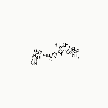 Cn1c(=O)n(C)c2cc(C3=CC(C)(C)Oc4cc(-c5ccc(C(=O)NCC#Cc6ccc7occ(N8CCC(=O)NC8=O)c7c6)nc5)ncc43)ccc21